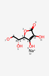 O=C1O[C@H]([C@H](O)C[O-])C(O)=C1O.[Na+]